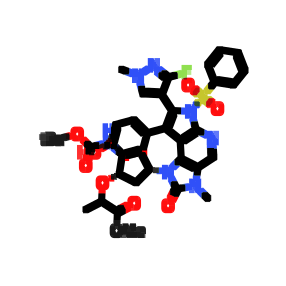 COC(=O)C(C)O[C@H]1C[C@@H](n2c(=O)n(C)c3cnc4c(c(-c5ccc(O)cc5)c(-c5cn(C)nc5F)n4S(=O)(=O)c4ccccc4)c32)C[C@@H]1NC(=O)OC(C)(C)C